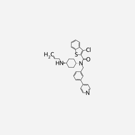 C=CCN[C@H]1CC[C@H](N(Cc2cccc(-c3ccncc3)c2)C(=O)c2sc3ccccc3c2Cl)CC1